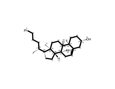 CC(C)CCC[C@@H](C)[C@H]1CC[C@@H]2[C@]1(C)CC[C@H]1[C@@]2(N)CC=C2C[C@@H](O)CC[C@@]21C